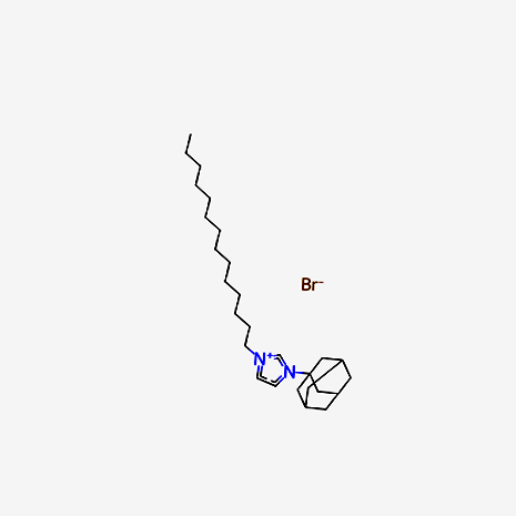 CCCCCCCCCCCCCC[n+]1ccn(C23CC4CC(CC(C4)C2)C3)c1.[Br-]